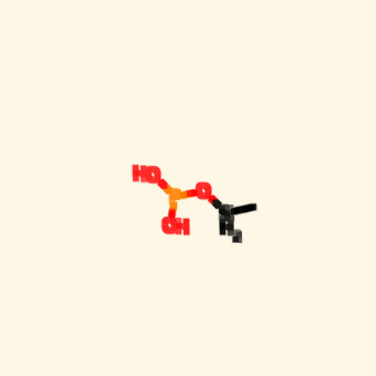 C[SiH2]OP(O)O